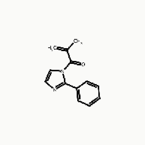 C=C(C)C(=O)n1ccnc1-c1ccccc1